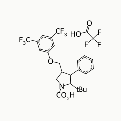 CC(C)(C)C1C(c2ccccc2)C(COc2cc(C(F)(F)F)cc(C(F)(F)F)c2)CN1C(=O)O.O=C(O)C(F)(F)F